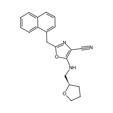 N#Cc1nc(Cc2cccc3ccccc23)oc1NC[C@H]1CCCO1